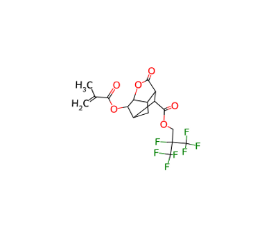 C=C(C)C(=O)OC1C2CC3C1OC(=O)C3C2C(=O)OCC(F)(C(F)(F)F)C(F)(F)F